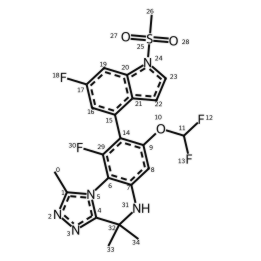 Cc1nnc2n1-c1c(cc(OC(F)F)c(-c3cc(F)cc4c3ccn4S(C)(=O)=O)c1F)NC2(C)C